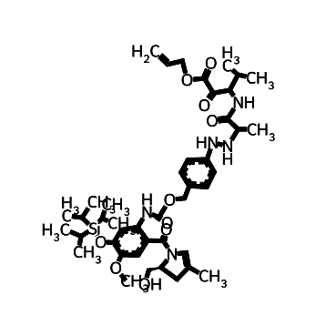 C=CCOC(=O)C(=O)C(NC(=O)C(C)NNc1ccc(COC(=O)Nc2cc(O[Si](C(C)C)(C(C)C)C(C)C)c(OC)cc2C(=O)N2C=C(C)C[C@H]2CO)cc1)C(C)C